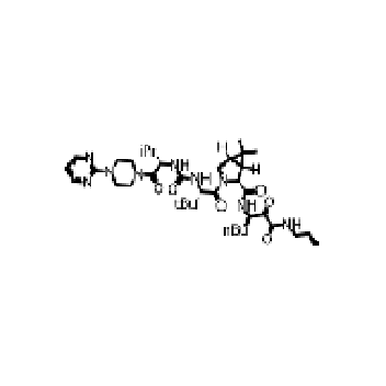 C=CCNC(=O)C(=O)C(CCCC)NC(=O)[C@@H]1[C@@H]2[C@H](CN1C(=O)[C@@H](NC(=O)N[C@H](C(=O)N1CCN(c3ncccn3)CC1)C(C)C)C(C)(C)C)C2(C)C